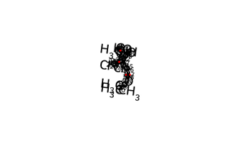 CC(C)(C)c1ccc(Oc2ccc(-c3ccc(Cc4nc(-c5ccc(Cl)cc5Cl)cn4-c4ccc(C(=O)O)c(NS(C)(=O)=O)c4)cc3)cc2)cc1